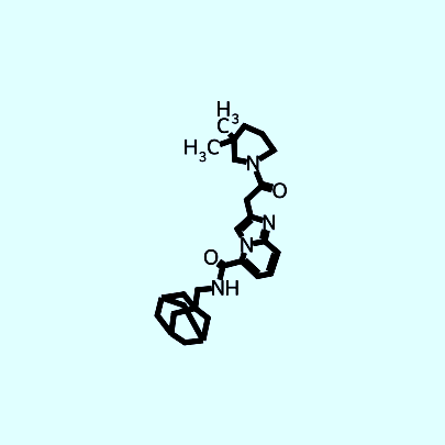 CC1(C)CCCN(C(=O)Cc2cn3c(C(=O)NCC45CC6CC(CC(C6)C4)C5)cccc3n2)C1